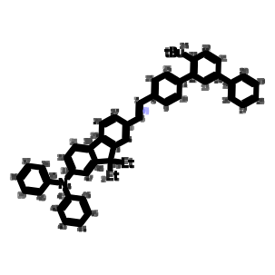 CCC1(CC)c2cc(/C=C/c3ccc(-c4cc(-c5ccccc5)ccc4C(C)(C)C)cc3)ccc2-c2ccc(N(c3ccccc3)c3ccccc3)cc21